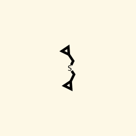 C1CC1CSCC1CC1